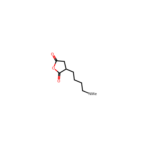 CNCCCCC1CC(=O)OC1=O